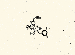 CC(C)(C)Cc1nc(C2(NCC(O)C(Cc3cc(F)cc(F)c3)NC(=O)O)CC2)cs1